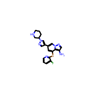 Nc1cnn2cc(-c3cnn(C4CCCNC4)c3)cc(Sc3ncccc3F)c12